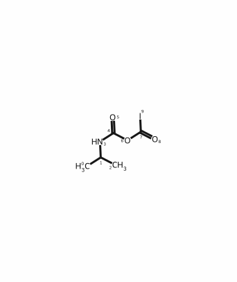 CC(C)NC(=O)OC(=O)I